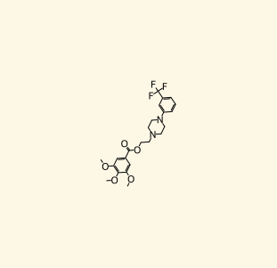 COc1cc(C(=O)OCCN2CCN(c3cccc(C(F)(F)F)c3)CC2)cc(OC)c1OC